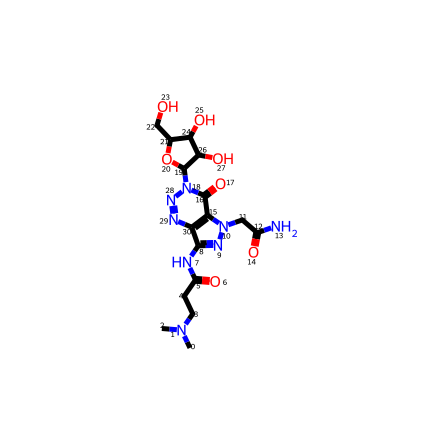 CN(C)CCC(=O)Nc1nn(CC(N)=O)c2c(=O)n(C3OC(CO)C(O)C3O)nnc12